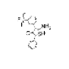 NC1=C(c2cccc(C(F)(F)F)c2)C(=O)C(c2ccccc2)[SH]1